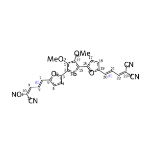 COc1c(-c2ccc(/C=C/C=C(C#N)C#N)o2)sc(-c2ccc(/C=C/C=C(C#N)C#N)o2)c1OC